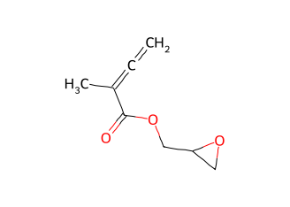 C=C=C(C)C(=O)OCC1CO1